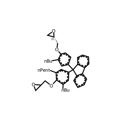 CCCCCc1cc(C2(c3ccc(OC[C@@H]4CO4)c(CCCC)c3)c3ccccc3-c3ccccc32)cc(CCCC)c1OCC1CO1